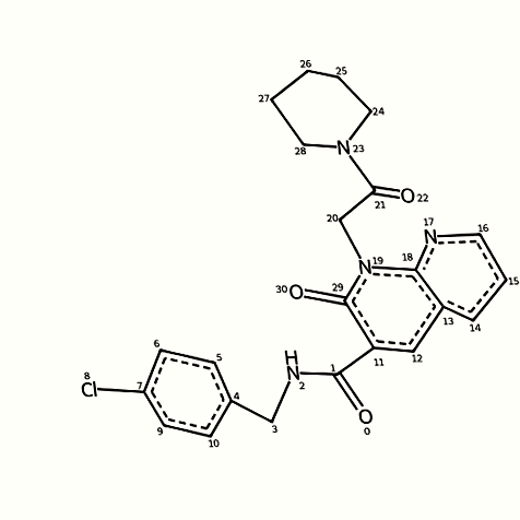 O=C(NCc1ccc(Cl)cc1)c1cc2cccnc2n(CC(=O)N2CCCCC2)c1=O